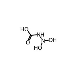 O=C(O)NN(O)O